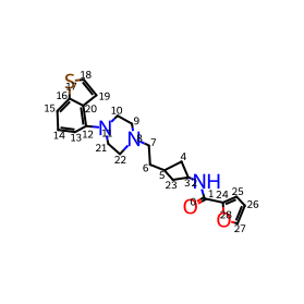 O=C(NC1CC(CCN2CCN(c3cccc4sccc34)CC2)C1)c1ccco1